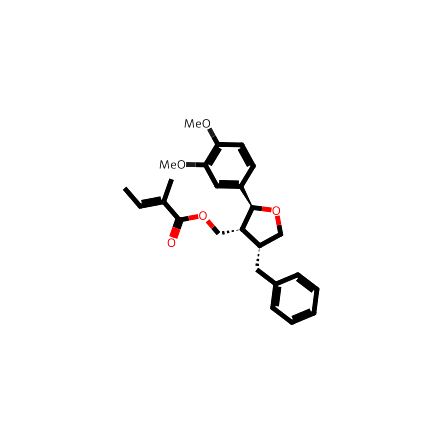 C/C=C(\C)C(=O)OC[C@H]1[C@@H](Cc2ccccc2)CO[C@@H]1c1ccc(OC)c(OC)c1